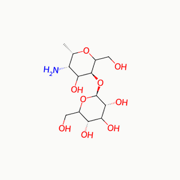 C[C@@H]1OC(CO)[C@@H](O[C@@H]2OC(CO)[C@@H](O)C(O)[C@H]2O)C(O)[C@@H]1N